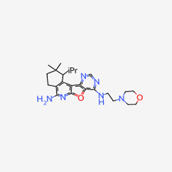 CC(C)C1c2c(c(N)nc3oc4c(NCCN5CCOCC5)ncnc4c23)CCC1(C)C